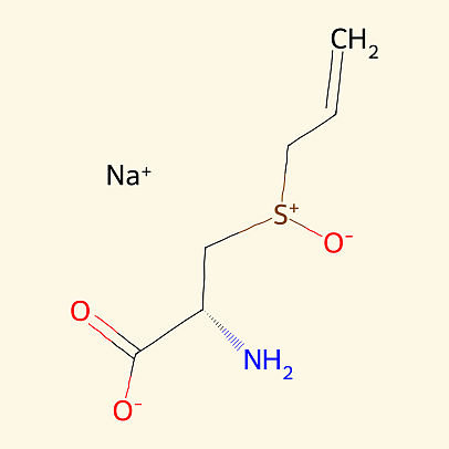 C=CC[S+]([O-])C[C@H](N)C(=O)[O-].[Na+]